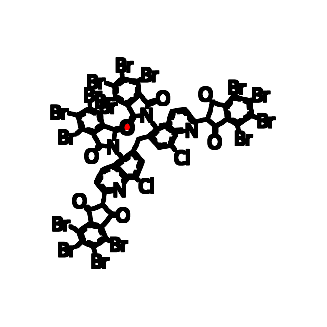 O=C1c2c(Br)c(Br)c(Br)c(Br)c2C(=O)C1c1ccc2c(N3C(=O)c4c(Br)c(Br)c(Br)c(Br)c4C3=O)c(Cc3cc(Cl)c4nc(C5C(=O)c6c(Br)c(Br)c(Br)c(Br)c6C5=O)ccc4c3N3C(=O)c4c(Br)c(Br)c(Br)c(Br)c4C3=O)cc(Cl)c2n1